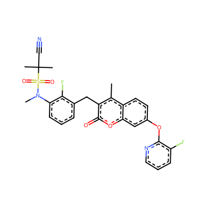 Cc1c(Cc2cccc(N(C)S(=O)(=O)C(C)(C)C#N)c2F)c(=O)oc2cc(Oc3ncccc3F)ccc12